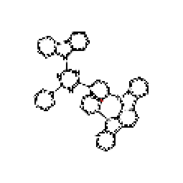 c1ccc(-c2nc(-c3ccc(-n4c5ccccc5c5ccc6c7ccccc7n(-c7ccccc7)c6c54)cc3)nc(-n3c4ccccc4c4ccccc43)n2)cc1